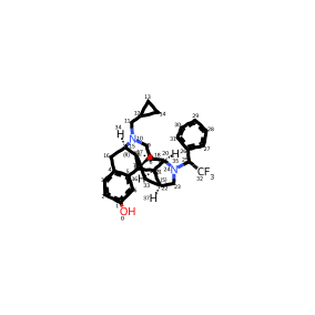 Oc1ccc2c(c1)[C@]13CCN(CC4CC4)[C@H](C2)[C@]12CC[C@@H]1[C@H]3[C@@H](CN1C(c1ccccc1)C(F)(F)F)C2